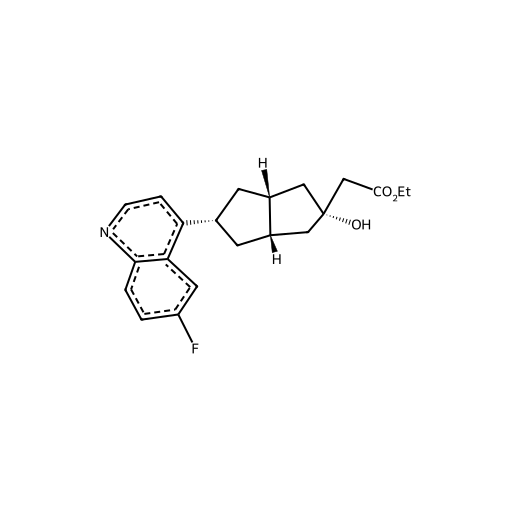 CCOC(=O)C[C@]1(O)C[C@H]2C[C@@H](c3ccnc4ccc(F)cc34)C[C@H]2C1